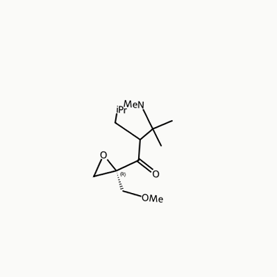 CNC(C)(C)C(CC(C)C)C(=O)[C@@]1(COC)CO1